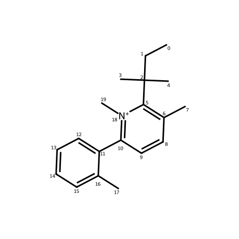 CCC(C)(C)c1c(C)ccc(-c2ccccc2C)[n+]1C